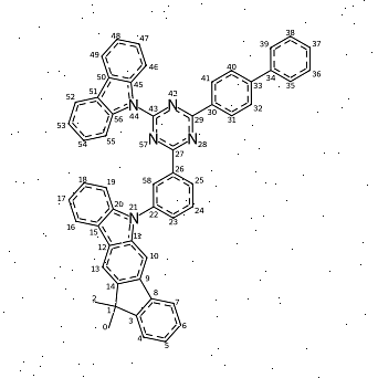 CC1(C)c2ccccc2-c2cc3c(cc21)c1ccccc1n3-c1cccc(-c2nc(-c3ccc(-c4ccccc4)cc3)nc(-n3c4ccccc4c4ccccc43)n2)c1